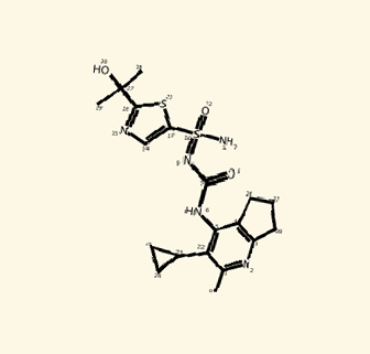 Cc1nc2c(c(NC(=O)N=S(N)(=O)c3cnc(C(C)(C)O)s3)c1C1CC1)CCC2